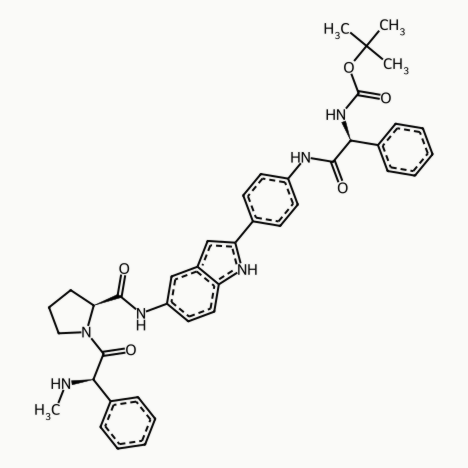 CN[C@@H](C(=O)N1CCC[C@H]1C(=O)Nc1ccc2[nH]c(-c3ccc(NC(=O)[C@@H](NC(=O)OC(C)(C)C)c4ccccc4)cc3)cc2c1)c1ccccc1